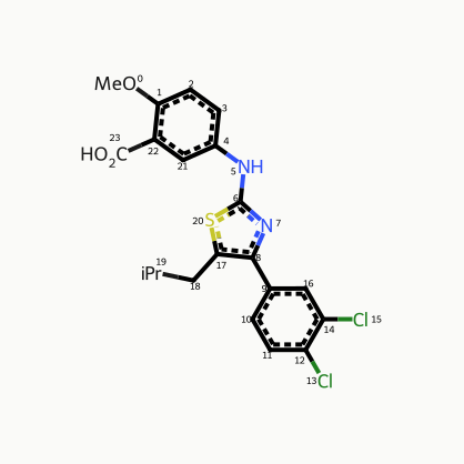 COc1ccc(Nc2nc(-c3ccc(Cl)c(Cl)c3)c(CC(C)C)s2)cc1C(=O)O